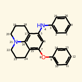 c1ccc(Nc2cc(Oc3ccccc3)c3c4c2CCCN4CCC3)cc1